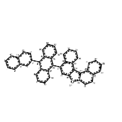 c1ccc2cc(-c3c4ccccc4c(-c4cc5oc6ccc7ccccc7c6c5c5ccccc45)c4ccccc34)ccc2c1